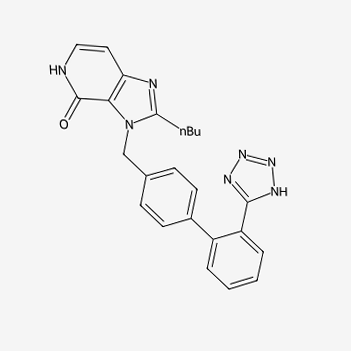 CCCCc1nc2cc[nH]c(=O)c2n1Cc1ccc(-c2ccccc2-c2nnn[nH]2)cc1